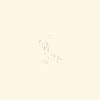 CNc1cc(-c2ccccn2)nc2cc(C3=NC(C4=CC=C4)=C4C=NC=C[N+]34N)ccc12